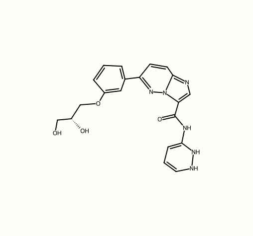 O=C(NC1=CC=CNN1)c1cnc2ccc(-c3cccc(OC[C@H](O)CO)c3)nn12